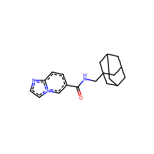 O=C(NCC12CC3CC(CC(C3)C1)C2)c1ccc2n[c]cn2c1